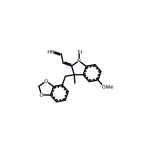 CCN1/C(=C\C=N)C(C)(Cc2cccc3c2OCO3)c2cc(OC)ccc21